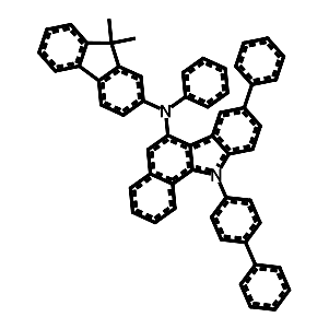 CC1(C)c2ccccc2-c2ccc(N(c3ccccc3)c3cc4ccccc4c4c3c3cc(-c5ccccc5)ccc3n4-c3ccc(-c4ccccc4)cc3)cc21